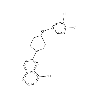 Oc1cccc2ccc(N3CCC(Oc4ccc(Cl)c(Cl)c4)CC3)nc12